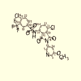 COc1cncc(N2C(=O)c3c(Cl)ccc(NS(=O)(=O)c4ccc(Cl)c(C(F)(F)F)c4)c3C2=O)c1